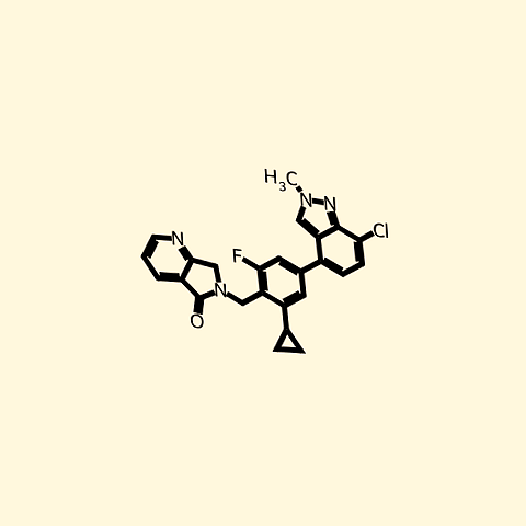 Cn1cc2c(-c3cc(F)c(CN4Cc5ncccc5C4=O)c(C4CC4)c3)ccc(Cl)c2n1